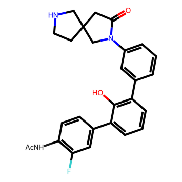 CC(=O)Nc1ccc(-c2cccc(-c3cccc(N4CC5(CCNC5)CC4=O)c3)c2O)cc1F